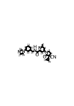 Cc1cc(N2CC[C@@](C#N)(C3CC3)C2=O)cc(C(=O)NCc2cccc(-n3ccnc3)c2)n1